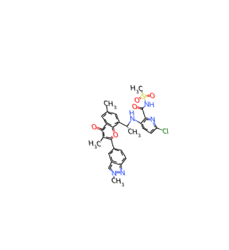 Cc1cc([C@@H](C)Nc2ccc(Cl)nc2C(=O)NS(C)(=O)=O)c2oc(-c3ccc4nn(C)cc4c3)c(C)c(=O)c2c1